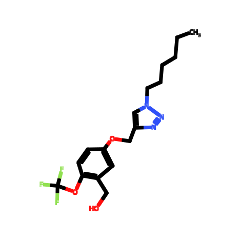 CCCCCCn1cc(COc2ccc(OC(F)(F)F)c(CO)c2)nn1